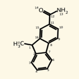 CC1c2ccccc2-c2ccc(C(N)=O)cc21